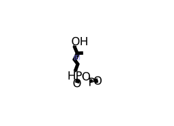 C/C(=C\CC[PH](=O)OP=O)CO